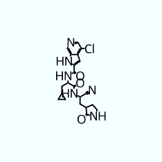 N#CC(CC1CCNC1=O)NC(=O)C(CC1CC1)NC(=O)c1cc2c(Cl)cncc2[nH]1